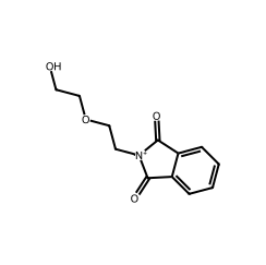 O=C1c2ccccc2C(=O)[N+]1CCOCCO